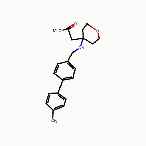 COC(=O)CC1(NCc2ccc(-c3ccc(C(F)(F)F)cc3)cc2)CCOCC1